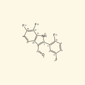 O=Cc1c(-c2cc(F)ccc2F)[nH]c2c(F)c(F)ccc12